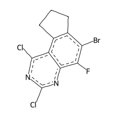 Fc1c(Br)c2c(c3c(Cl)nc(Cl)nc13)CCC2